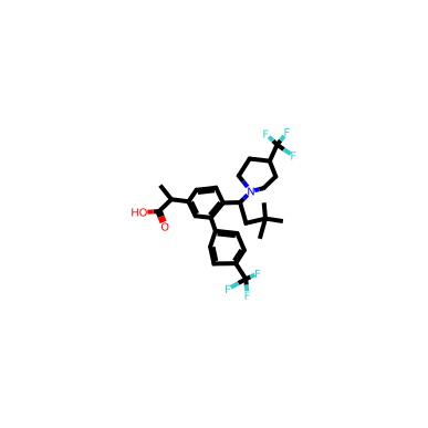 CC(C(=O)O)c1ccc(C(CC(C)(C)C)N2CCC(C(F)(F)F)CC2)c(-c2ccc(C(F)(F)F)cc2)c1